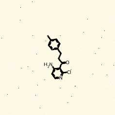 Cc1ccc(CCC(=O)c2c(N)ccnc2Cl)cc1